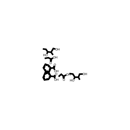 CCC(=O)O.CCC(=O)O.CCC(O)C(C)CO.CCC(O)C(C)CO.O=C(O)c1ccccc1.O=C(O)c1ccccc1